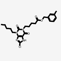 CCCCCn1c(=O)n(CCCCC(=O)OCc2cccc(C)c2)c(=O)c2[nH]c(Cl)nc21